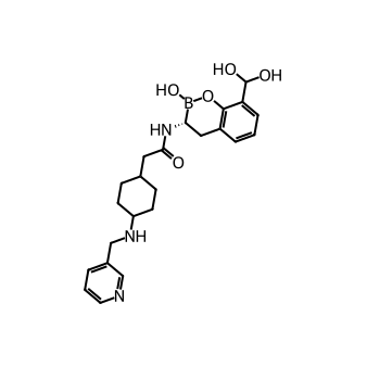 O=C(CC1CCC(NCc2cccnc2)CC1)N[C@H]1Cc2cccc(C(O)O)c2OB1O